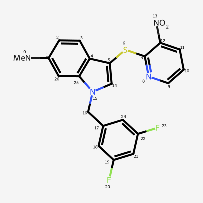 CNc1ccc2c(Sc3ncccc3[N+](=O)[O-])cn(Cc3cc(F)cc(F)c3)c2c1